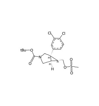 CC(C)(C)OC(=O)N1C[C@@H]2[C@@H](COS(C)(=O)=O)[C@]2(c2ccc(Cl)c(Cl)c2)C1